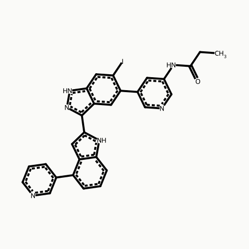 CCC(=O)Nc1cncc(-c2cc3c(-c4cc5c(-c6cccnc6)cccc5[nH]4)n[nH]c3cc2I)c1